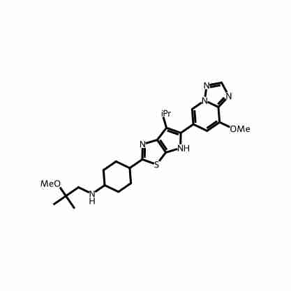 COc1cc(-c2[nH]c3sc(C4CCC(NCC(C)(C)OC)CC4)nc3c2C(C)C)cn2ncnc12